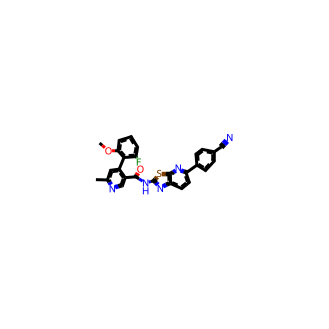 COc1cccc(F)c1-c1cc(C)ncc1C(=O)Nc1nc2ccc(-c3ccc(C#N)cc3)nc2s1